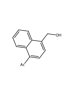 CC(=O)c1ccc(CO)c2ccccc12